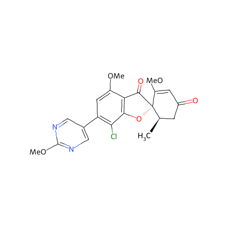 COC1=CC(=O)C[C@@H](C)[C@]12Oc1c(Cl)c(-c3cnc(OC)nc3)cc(OC)c1C2=O